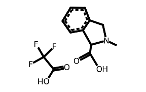 CN1Cc2ccccc2C1C(=O)O.O=C(O)C(F)(F)F